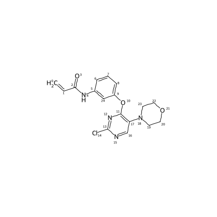 C=CC(=O)Nc1cccc(Oc2nc(Cl)ncc2N2CCOCC2)c1